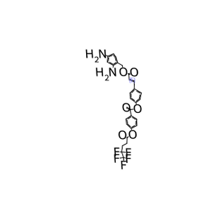 Nc1ccc(COC(=O)/C=C/c2ccc(OC(=O)c3ccc(OC(=O)CCC(F)(F)C(F)(F)F)cc3)cc2)c(N)c1